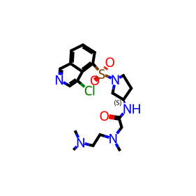 CN(C)CCN(C)CC(=O)N[C@H]1CCN(S(=O)(=O)c2cccc3cncc(Cl)c23)C1